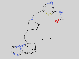 CC(=O)Nc1ncc(CN2CCC(Cc3cccc4nccn34)C2)s1